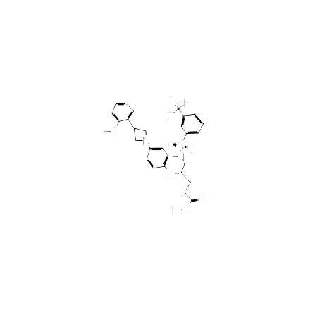 COc1ccccc1C1CN(c2ccc3c(c2)N(S(=O)(=O)c2cccc(C(F)(F)F)c2)CC(CCC(=O)O)O3)C1